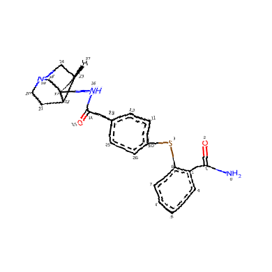 NC(=O)c1ccccc1Sc1ccc(C(=O)N[C@H]2CN3CCC2CC3)cc1